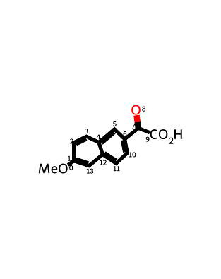 COc1ccc2cc(C(=O)C(=O)O)ccc2c1